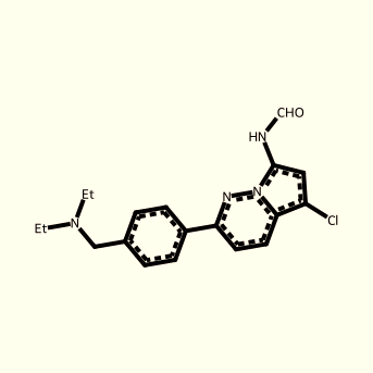 CCN(CC)Cc1ccc(-c2ccc3c(Cl)cc(NC=O)n3n2)cc1